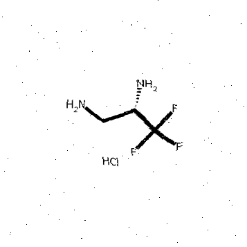 Cl.NC[C@H](N)C(F)(F)F